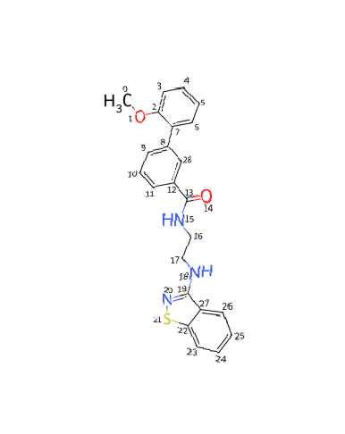 COc1ccccc1-c1cccc(C(=O)NCCNc2nsc3ccccc23)c1